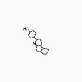 Brc1ccc(-c2ccc3c(ccc4ccccc43)n2)cc1